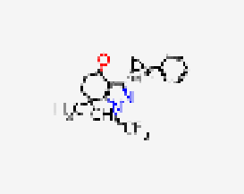 CC1(C)CCC(=O)c2c([C@@H]3C[C@H]3c3ccccc3)nn(CC(F)(F)F)c21